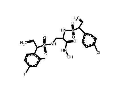 C=CC(c1ccc(Cl)cc1)S(=O)(=O)NC(CNS(=O)(=O)C(C=C)c1ccc(F)cc1F)C(=O)NO